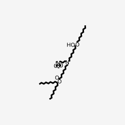 CCCCCCCCCOC(O)CCCCCCCN(CCCCCCCC(=O)OC(CCCCCCCC)CCCCCCCC)CCCN(C)S(C)(=O)=O